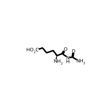 NC(=O)NC(=O)[C@@H](N)CCCC(=O)O